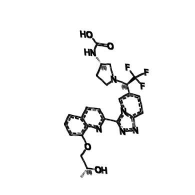 C[C@@H](O)COc1cccc2ccc(-c3nnc4ccc([C@@H](N5CC[C@H](NC(=O)O)C5)C(F)(F)F)cn34)nc12